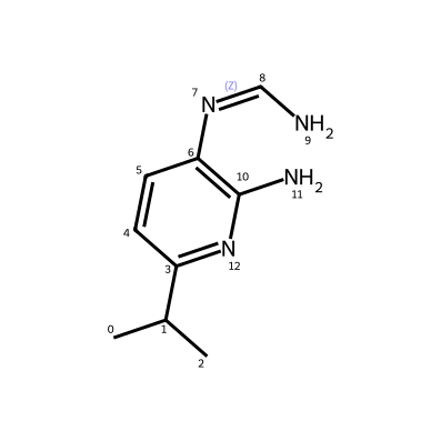 CC(C)c1ccc(/N=C\N)c(N)n1